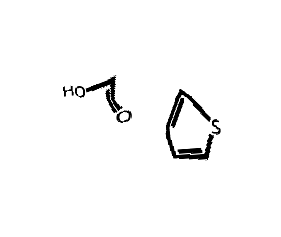 O=CO.c1ccsc1